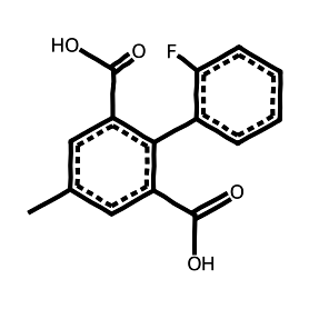 Cc1cc(C(=O)O)c(-c2ccccc2F)c(C(=O)O)c1